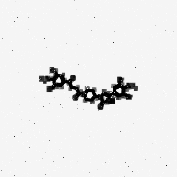 Nc1c(Br)cc(C(=O)CCC(=O)N2CCC(n3cc(-c4cc(Br)c(N)c(Br)c4)[nH]c3=O)CC2)cc1Br